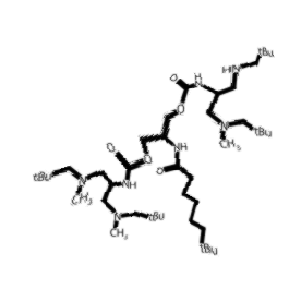 CN(CC(CNCC(C)(C)C)NC(=O)OCC(COC(=O)NC(CN(C)CC(C)(C)C)CN(C)CC(C)(C)C)NC(=O)CCCCCC(C)(C)C)CC(C)(C)C